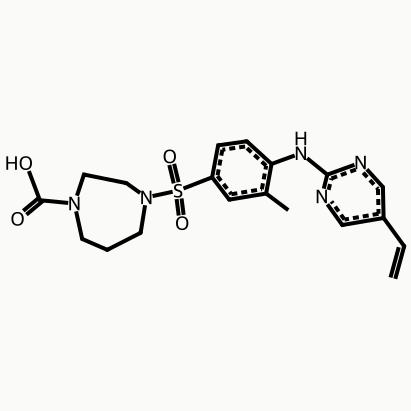 C=Cc1cnc(Nc2ccc(S(=O)(=O)N3CCCN(C(=O)O)CC3)cc2C)nc1